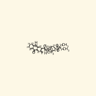 CCN(CC)S(=O)(=O)c1ccc(C(C)(C)NC(=O)c2cc3[nH]c4ccccc4c(=O)c3cc2F)cc1